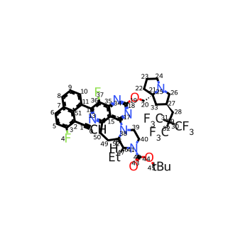 C#Cc1c(F)ccc2cccc(-c3nc4c5c(nc(OC[C@]67CCCN6C[C@@H](CC(C(F)(F)F)(C(F)(F)F)C(F)(F)F)C7)nc5c3F)N3CCN(C(=O)OC(C)(C)C)[C@@H](CC)[C@H]3CC4)c12